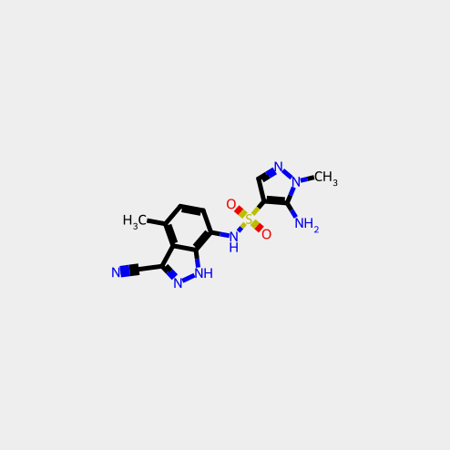 Cc1ccc(NS(=O)(=O)c2cnn(C)c2N)c2[nH]nc(C#N)c12